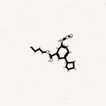 CCCCOC(=O)C1=CC(C2CCCC2)=CC=C(N=C=O)C1